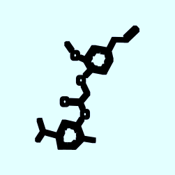 C=CCc1ccc(OCC(=O)Oc2cc(C(C)C)ccc2C)c(OC)c1